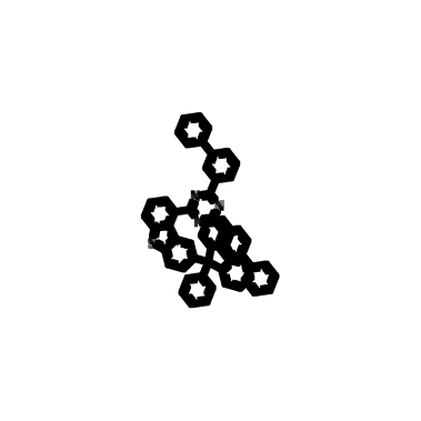 c1ccc(-c2ccc(-c3nc(-c4cccc(-c5ccccc5)c4)nc(-c4cccc5sc6ccc(C7(c8ccccc8)c8ccccc8-c8ccccc87)cc6c45)n3)cc2)cc1